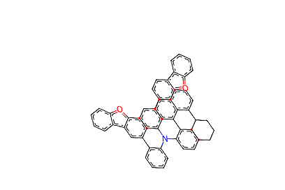 c1cc(-c2ccc3c(c2)oc2ccccc23)cc(N(c2ccccc2-c2ccc3oc4ccccc4c3c2)c2ccccc2-c2cccc3cccc(C4CCCCC4)c23)c1